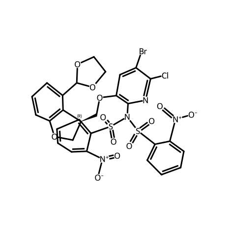 O=[N+]([O-])c1ccccc1S(=O)(=O)N(c1nc(Cl)c(Br)cc1OC[C@H]1COc2cccc(C3OCCO3)c21)S(=O)(=O)c1ccccc1[N+](=O)[O-]